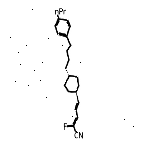 CCCc1ccc(CCCC[C@H]2CC[C@H](C=CC=C(F)C#N)CC2)cc1